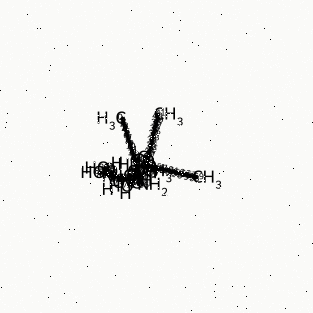 CCCCCCCCCCCCCCCC(=O)N[C@H](CS[C@](C)(COC(=O)CCCCCCCCCCCCCCC)OC(=O)CCCCCCCCCCCCCCC)C(=O)NC(CC(N)=O)C(=O)NC(CO)C(=O)NCC(=O)NCC(=O)N[C@H](CO)C(=O)O